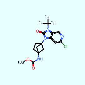 [2H]C([2H])([2H])n1c(=O)n(C23CCC(NC(=O)OC(C)(C)C)(C2)C3)c2cc(Cl)ncc21